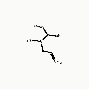 C=CCN(CC)C(CCC)CCCCCC